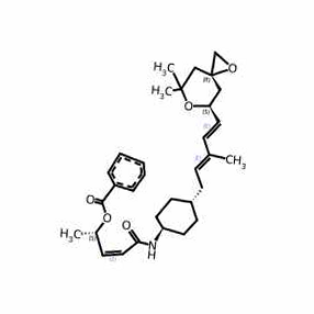 CC(/C=C/[C@@H]1C[C@]2(CO2)CC(C)(C)O1)=C\C[C@H]1CC[C@H](NC(=O)/C=C\[C@H](C)OC(=O)c2ccccc2)CC1